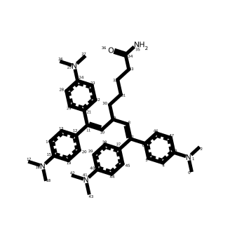 CN(C)c1ccc(C(=CC(C=C(c2ccc(N(C)C)cc2)c2ccc(N(C)C)cc2)CCCCC(N)=O)c2ccc(N(C)C)cc2)cc1